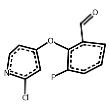 O=Cc1cccc(F)c1Oc1ccnc(Cl)c1